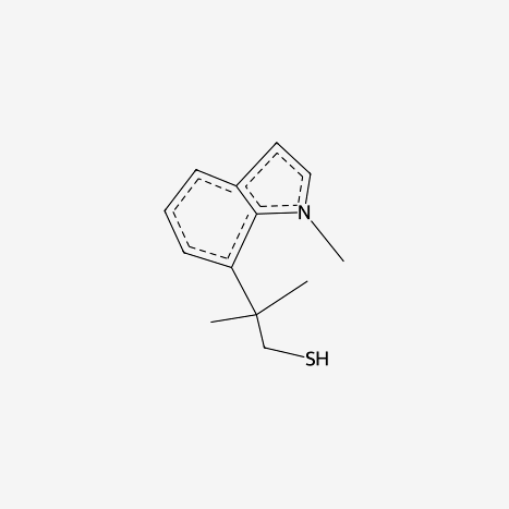 Cn1ccc2cccc(C(C)(C)CS)c21